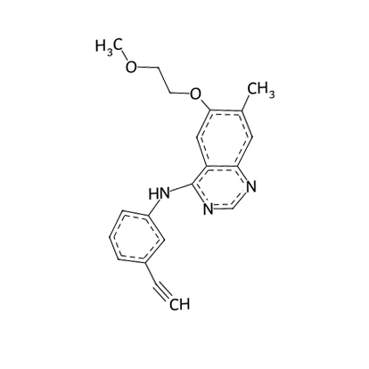 C#Cc1cccc(Nc2ncnc3cc(C)c(OCCOC)cc23)c1